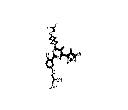 CNC[C@@H](O)COc1ccc(Cl)c(-c2nc(-c3c(C)c(Br)nn3C)c(C)c(N3CC4(CC(OCC(F)F)C4)C3)n2)c1